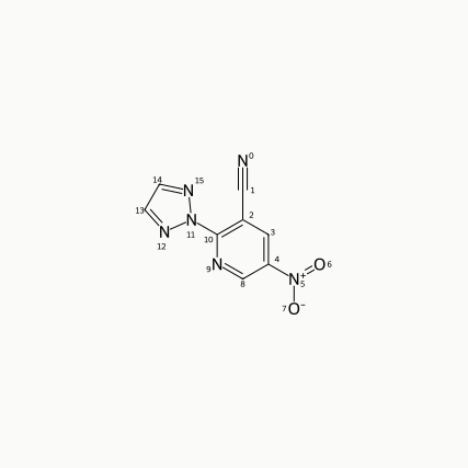 N#Cc1cc([N+](=O)[O-])cnc1-n1nccn1